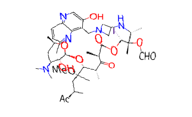 CO[C@](C)(C[C@@H](C)C(C)=O)[C@H](O[C@@H]1O[C@H](C)C[C@H](N(C)C)[C@H]1O)[C@@H](C)C(=O)[C@@H](C)C(=O)O[C@H](I)[C@@](C)(OC=O)[C@@H](C)NC1CN(Cc2c(O)cnc3ccc(C)nc23)C1